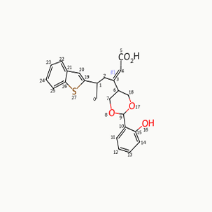 CC(C/C(=C\C(=O)O)C1COC(c2ccccc2O)OC1)c1cc2ccccc2s1